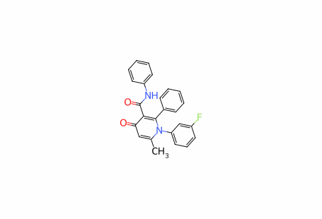 Cc1cc(=O)c(C(=O)Nc2ccccc2)c(-c2ccccc2)n1-c1cccc(F)c1